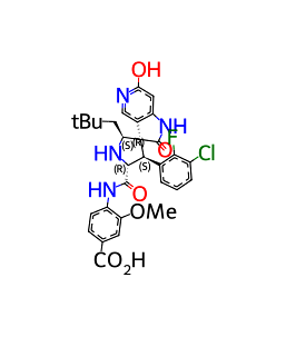 COc1cc(C(=O)O)ccc1NC(=O)[C@@H]1N[C@@H](CC(C)(C)C)[C@@]2(C(=O)Nc3cc(O)ncc32)[C@H]1c1cccc(Cl)c1F